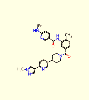 Cc1ccc(C(=O)N2CCC(c3ccc(-c4cnn(C)c4)nc3)CC2)cc1NC(=O)c1ccc(NC(C)C)nc1